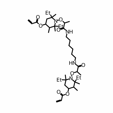 C=CC(=O)OC1CC(C)(CC)N(OC(C)C(=O)NCCCCCCNC(=O)C(C)ON2C(C)(CC)CC(OC(=O)C=C)C(C)C2(C)CC)C(C)(CC)C1C